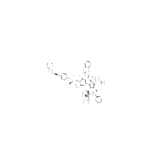 Cc1c(C(=O)Nc2ccccc2)c(-c2cnn(C(F)F)c2)c(-c2cc3c(cc2C(=O)N2Cc4ccccc4C[C@H]2C)CN(C(=O)Cc2ccc(C#CCN4CCOCC4)cc2)CC3)n1C